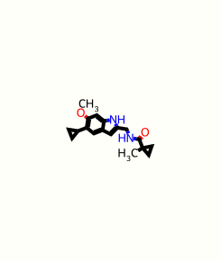 COc1cc2[nH]c(CNC(=O)C3(C)CC3)cc2cc1C1CC1